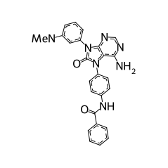 CNc1cccc(-n2c(=O)n(-c3ccc(NC(=O)c4ccccc4)cc3)c3c(N)ncnc32)c1